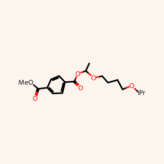 COC(=O)c1ccc(C(=O)OC(C)OCCCCOC(C)C)cc1